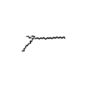 CCCCCCCCCCCCCCCCCCCn1cc[n+](CCC)c1CCCCCCCCCC